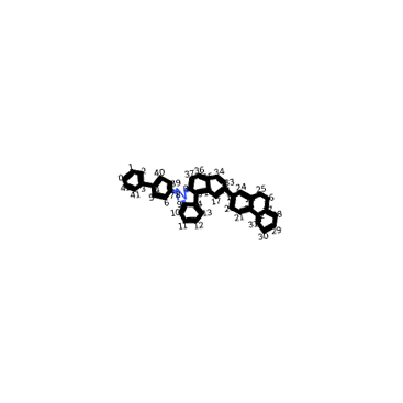 c1ccc(-c2ccc(-n3c4ccccc4c4c5cc(-c6ccc7c(c6)CCc6ccccc6-7)ccc5ccc43)cc2)cc1